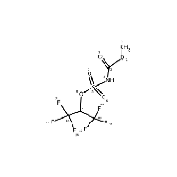 COC(=O)NS(=O)(=O)OC(C(F)(F)F)C(F)(F)F